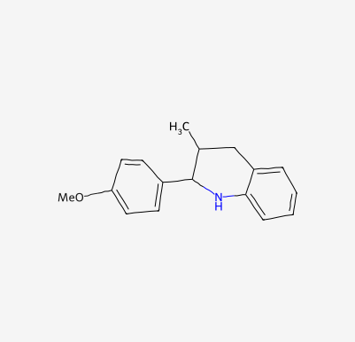 COc1ccc(C2Nc3ccccc3CC2C)cc1